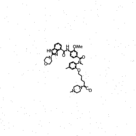 COc1cc(C(=O)N(C)c2ccc(C)cc2OCCCCC(=C=O)N2CCN(C)CC2)ccc1NC(=O)c1cccc2[nH]c(N3CCOCC3)nc12